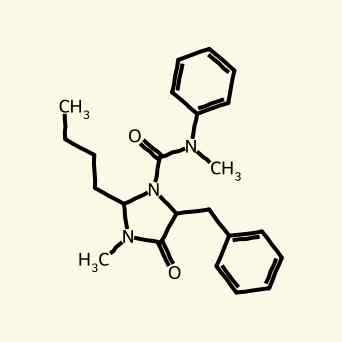 CCCCC1N(C)C(=O)C(Cc2ccccc2)N1C(=O)N(C)c1ccccc1